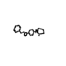 [CH]1CCCN1c1ccc(OCCc2ccccc2)cc1